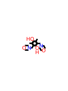 Cc1c(O)c(C)c(CN2CCOCC2)c(O)c1CN1CCOCC1